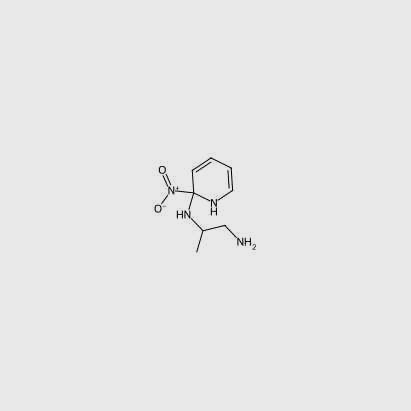 CC(CN)NC1([N+](=O)[O-])C=CC=CN1